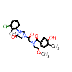 COCCN(CC(=O)N1CC(=O)N(c2cccc(Cl)c2C)C1)C(=O)c1ccc(C)c(O)c1